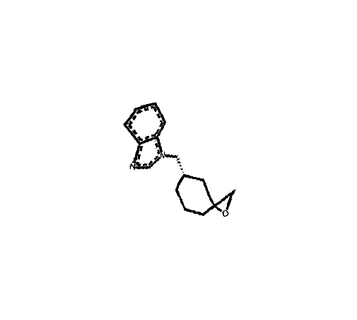 c1ccc2c(c1)ncn2C[C@H]1CCCC2(CO2)C1